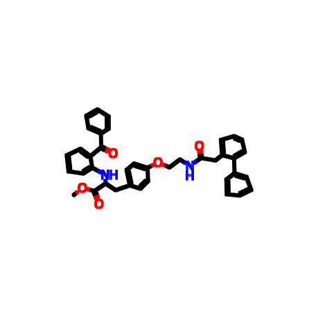 COC(=O)C(Cc1ccc(OCCNC(=O)Cc2ccccc2-c2ccccc2)cc1)Nc1ccccc1C(=O)c1ccccc1